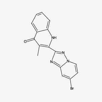 Cc1c(-c2nc3cc(Br)ccn3n2)[nH]c2ccccc2c1=O